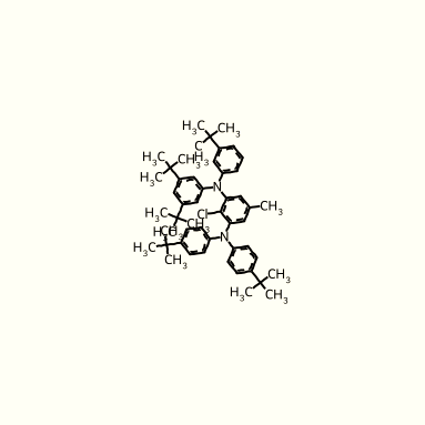 Cc1cc(N(c2ccc(C(C)(C)C)cc2)c2ccc(C(C)(C)C)cc2)c(Cl)c(N(c2cccc(C(C)(C)C)c2)c2cc(C(C)(C)C)cc(C(C)(C)C)c2)c1